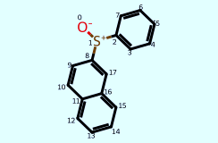 [O-][S+](c1cc[c]cc1)c1ccc2ccccc2c1